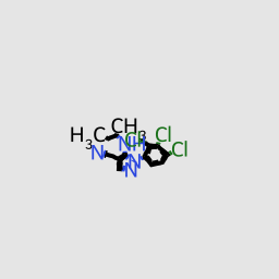 CCC(C)Nc1c(C#N)cnn1-c1ccc(Cl)c(Cl)c1Cl